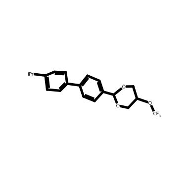 CC(C)c1ccc(-c2ccc(C3OCC(OC(F)(F)F)CO3)cc2)cc1